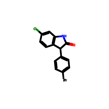 CC(C)c1ccc(C2C(=O)Nc3cc(Cl)ccc32)cc1